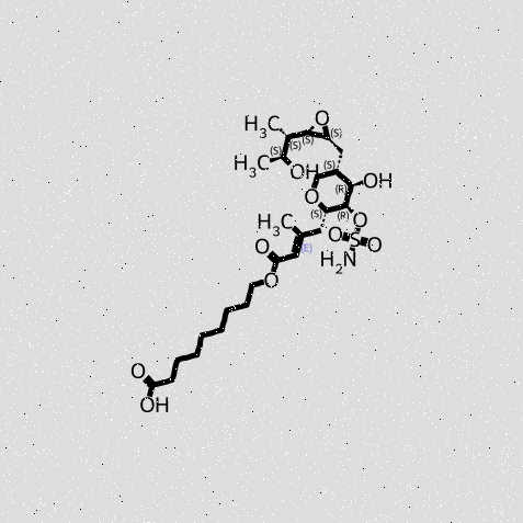 C/C(=C\C(=O)OCCCCCCCCC(=O)O)C[C@@H]1OC[C@H](C[C@@H]2O[C@H]2[C@@H](C)[C@H](C)O)[C@@H](O)[C@H]1OS(N)(=O)=O